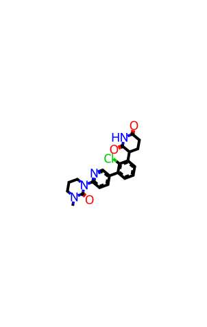 CN1CCCN(c2ccc(-c3cccc(C4CCC(=O)NC4=O)c3Cl)cn2)C1=O